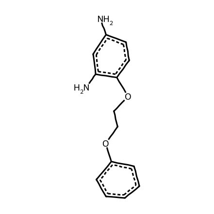 Nc1ccc(OCCOc2ccccc2)c(N)c1